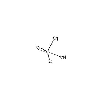 CCP(=O)(C#N)C#N